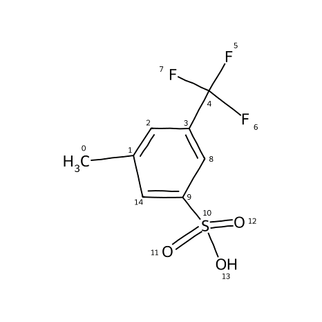 Cc1cc(C(F)(F)F)cc(S(=O)(=O)O)c1